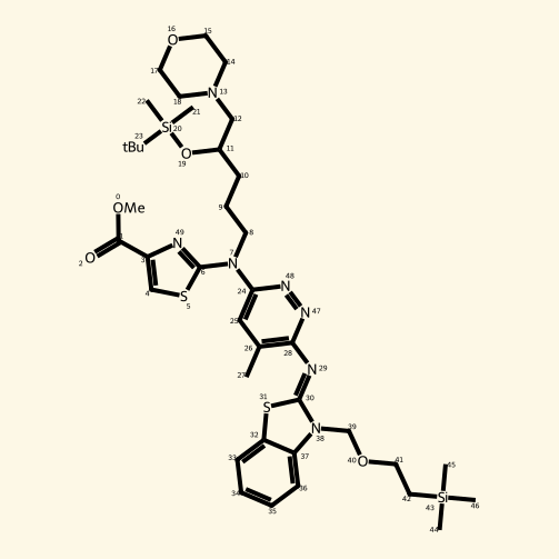 COC(=O)c1csc(N(CCCC(CN2CCOCC2)O[Si](C)(C)C(C)(C)C)c2cc(C)c(/N=c3\sc4ccccc4n3COCC[Si](C)(C)C)nn2)n1